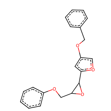 c1ccc(COc2coc(C3OC3COc3ccccc3)c2)cc1